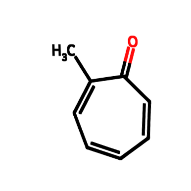 Cc1cccccc1=O